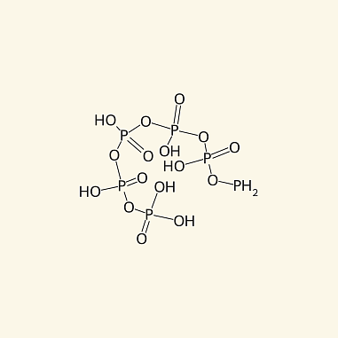 O=P(O)(O)OP(=O)(O)OP(=O)(O)OP(=O)(O)OP(=O)(O)OP